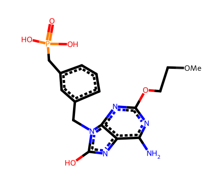 COCCOc1nc(N)c2nc(O)n(Cc3cccc(CP(=O)(O)O)c3)c2n1